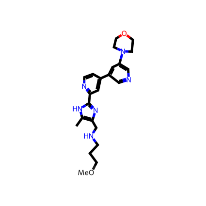 COCCCNCc1nc(-c2cc(-c3cncc(N4CCOCC4)c3)ccn2)[nH]c1C